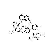 CCOC(C)COCc1ccc([C@H]2C[C@@H](C[C@H](C)NC(C)=O)NC[C@@H]2OCc2ccc3c(c2)N(CCCOC)CCO3)cc1